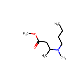 CCCCN(C)C(C)CC(=O)OC